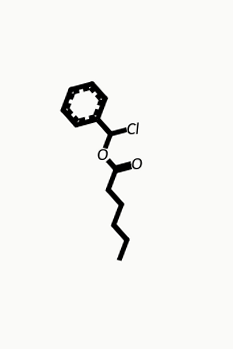 CCCCCC(=O)OC(Cl)c1ccccc1